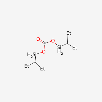 CCC(CC)[SiH2]OC(=O)O[SiH2]C(CC)CC